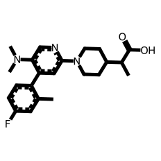 Cc1cc(F)ccc1-c1cc(N2CCC(C(C)C(=O)O)CC2)ncc1N(C)C